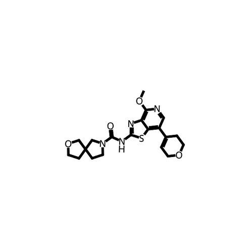 COc1ncc(C2=CCOCC2)c2sc(NC(=O)N3CCC4(CCOC4)C3)nc12